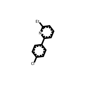 CCc1cccc(-c2ccc(Cl)cc2)n1